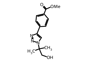 COC(=O)c1ccc(-c2cn(C(C)(C)CO)nn2)cc1